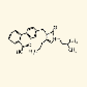 CCCc1cn(CCC(C)C)c(=O)n1Cc1ccc(-c2ccccc2C(=O)O)cc1